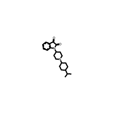 CC(C)C1CCC(N2CCC(N3C(=O)C(=O)c4ccccc43)CC2)CC1